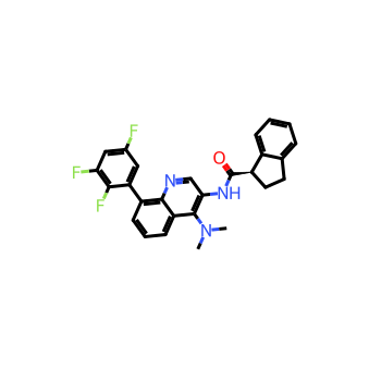 CN(C)c1c(NC(=O)[C@@H]2CCc3ccccc32)cnc2c(-c3cc(F)cc(F)c3F)cccc12